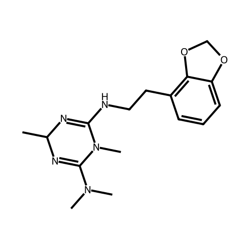 CC1N=C(NCCc2cccc3c2OCO3)N(C)C(N(C)C)=N1